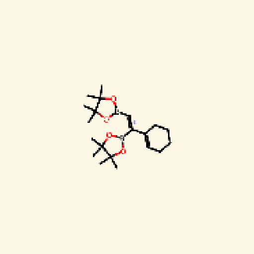 CC1(C)OB(/C=C(\B2OC(C)(C)C(C)(C)O2)C2=CCCCC2)OC1(C)C